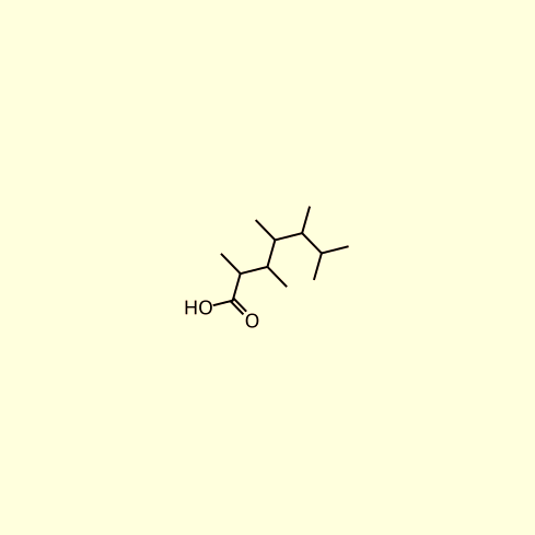 CC(C)C(C)C(C)C(C)C(C)C(=O)O